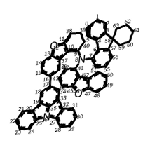 c1ccc2c(c#1)-c1c(N(C3=c4c(oc5ccc(-c6cc7c8ccccc8n8c9ccccc9c(c6)c78)cc45)=CCC3)c3cccc4oc5ccccc5c34)cccc1C21CCCCC1